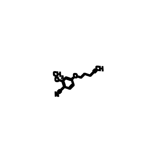 C#CCCCOc1ccc(C#N)c(OC)c1